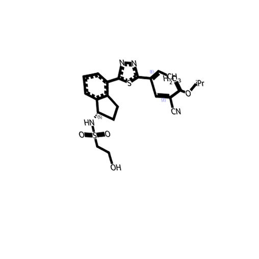 C=C(OC(C)C)/C(C#N)=C\C(=C/C)c1nnc(-c2cccc3c2CC[C@@H]3NS(=O)(=O)CCO)s1